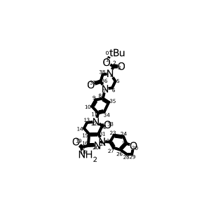 CC(C)(C)OC(=O)N1CCN(c2ccc(N3CCc4c(C(N)=O)nn(-c5ccc6c(c5)CCO6)c4C3=O)cc2)C(=O)C1